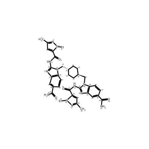 CCn1nc(C)cc1C(=O)Nc1nc2cc(C(N)=O)ccc2n1C[C@H]1CC[C@H](Cn2c(NC(=O)c3cc(C)nn3CC)nc3cc(C(N)=O)ccc32)CC1